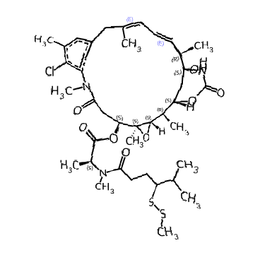 CSSC(CCC(=O)N(C)[C@@H](C)C(=O)O[C@H]1CC(=O)N(C)c2cc(cc(C)c2Cl)C/C(C)=C/C=C/[C@@H](C)[C@@]2(O)C[C@H](OC(=O)N2)[C@@H](C)[C@@H]2O[C@@]12C)C(C)C